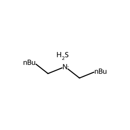 CCCCC[N]CCCCC.S